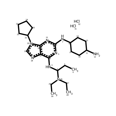 CCC(Nc1nc(NC2CCC(N)CC2)nc2c1ncn2C1CCCC1)N(CC)CC.Cl.Cl